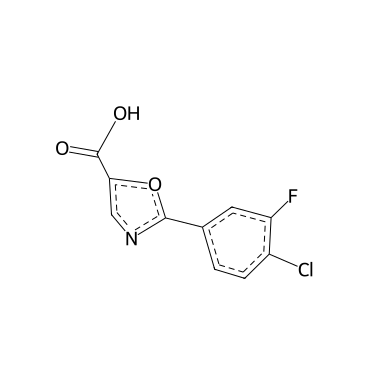 O=C(O)c1cnc(-c2ccc(Cl)c(F)c2)o1